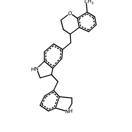 Cc1cccc2c1OCCC2Cc1ccc2c(c1)C(Cc1cccc3c1CCN3)CN2